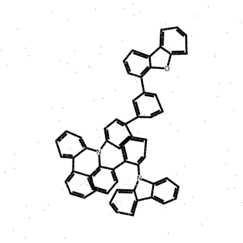 c1ccc(-c2ccccc2N(c2ccc(-c3cccc(-c4cccc5c4oc4ccccc45)c3)cc2)c2ccccc2-c2ccccc2-n2c3ccccc3c3ccccc32)cc1